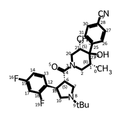 C[C@@H]1CN(C(=O)[C@@H]2CN(C(C)(C)C)C[C@H]2c2ccc(F)cc2F)C[C@H](C)C1(O)c1ccc(C#N)cc1